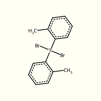 Cc1cccc[c]1[Ti]([Br])([Br])[c]1ccccc1C